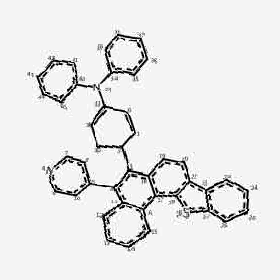 C1=CC(c2c(-c3ccncc3)c3ccccc3c3c2ccc2c4ccccc4sc23)CC=C1N(c1ccccc1)c1ccccc1